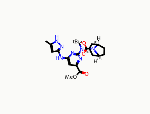 COC(=O)c1cc(Nc2cc(C)[nH]n2)nc(N(C)[C@@H]2C[C@H]3CC[C@@H](C2)N3C(=O)OC(C)(C)C)n1